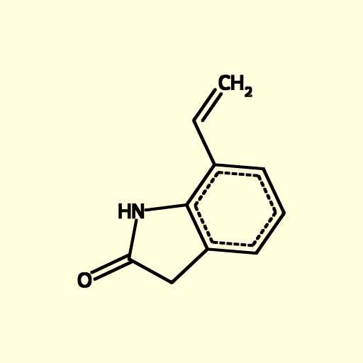 C=Cc1cccc2c1NC(=O)C2